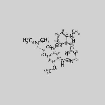 COc1cc(OCCN(C)C)c([N+](=O)[O-])cc1Nc1nccc(-c2nn(C)c3ccccc23)n1